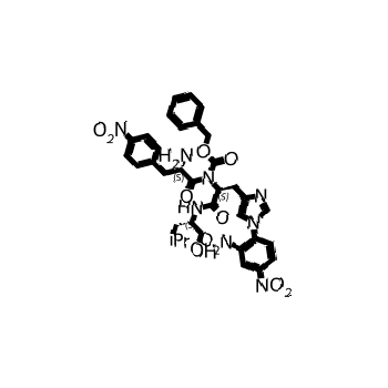 CC(C)C[C@@H](CO)NC(=O)[C@H](Cc1cn(-c2ccc([N+](=O)[O-])cc2[N+](=O)[O-])cn1)N(C(=O)OCc1ccccc1)C(=O)[C@@H](N)Cc1ccc([N+](=O)[O-])cc1